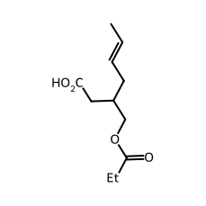 CC=CCC(COC(=O)CC)CC(=O)O